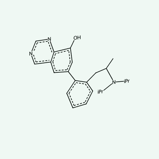 CC(C)N(C(C)C)C(C)Cc1ccccc1-c1cc(O)c2ncncc2c1